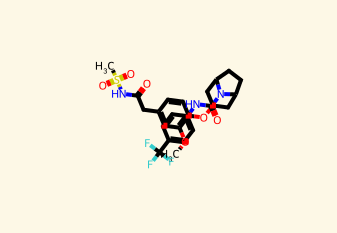 COc1cc(CC(=O)NS(C)(=O)=O)ccc1OC1CC2CCC(C1)N2C(=O)Nc1ccc(C(F)(F)F)cc1